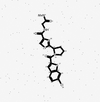 CNC(=O)CNC(=O)c1csc(C2CCCN2C(=O)c2cc3ccc(Cl)cc3s2)n1